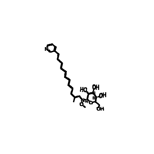 CON(CC(C)CCCCCCCCCCc1cccnc1)[C@@H]1OC(CO)[C@@H](O)[C@H](O)C1O